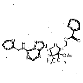 CC(=O)O[C@]1(C)[C@@H](COC(=O)c2ccccc2)O[C@@H](n2cnc3c(NCc4ccco4)ncnc32)[C@]1(C)F